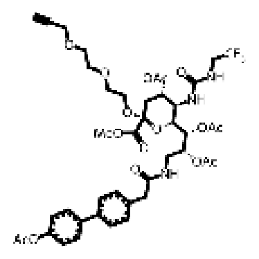 C#CCOCCOCCO[C@]1(C(=O)OC)C[C@H](OC(C)=O)[C@@H](NC(=O)NCC(F)(F)F)[C@H]([C@H](OC(C)=O)[C@@H](CNC(=O)Cc2ccc(-c3ccc(OC(C)=O)cc3)cc2)OC(C)=O)O1